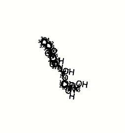 CC(C)(CO)NS(=O)(=O)c1cccc(OCC(O)CNC2COC3(CCN(S(=O)(=O)c4ccc5ccccc5c4)CC3)C2)c1